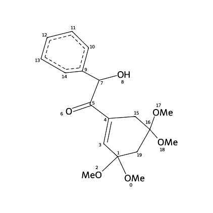 COC1(OC)C=C(C(=O)C(O)c2ccccc2)CC(OC)(OC)C1